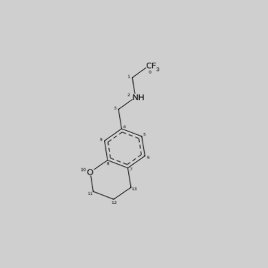 FC(F)(F)CNCc1ccc2c(c1)OCCC2